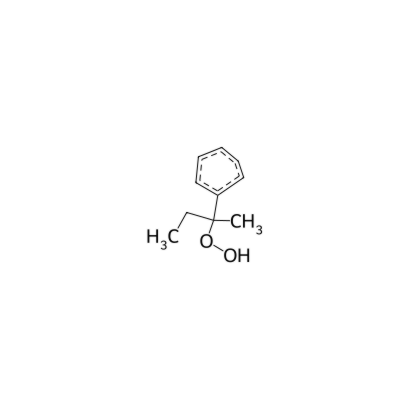 CCC(C)(OO)c1ccccc1